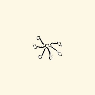 [Cl][Cu]([Cl])([Cl])([Cl])([Cl])[Cl]